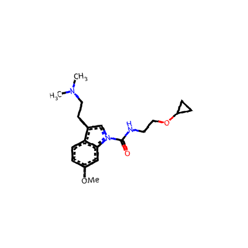 COc1ccc2c(CCN(C)C)cn(C(=O)NCCOC3CC3)c2c1